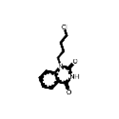 O=c1[nH]c(=O)n(CCCCCl)c2ccccc12